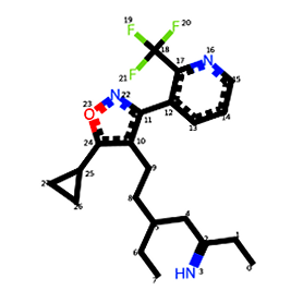 CCC(=N)CC(CC)CCc1c(-c2cccnc2C(F)(F)F)noc1C1CC1